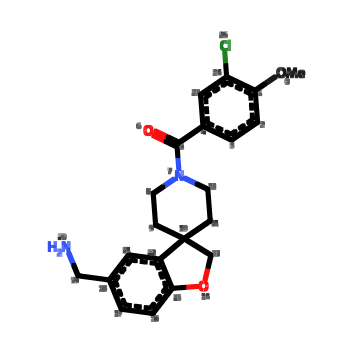 COc1ccc(C(=O)N2CCC3(CC2)COc2ccc(CN)cc23)cc1Cl